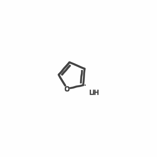 [LiH].[c]1ccco1